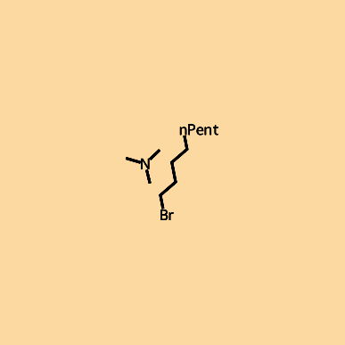 CCCCCCCCCBr.CN(C)C